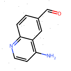 Nc1ccnc2ccc(C=O)cc12